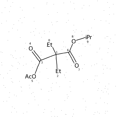 CCC(CC)(C(=O)OC(C)=O)C(=O)OC(C)C